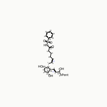 CCCCC[C@H](O)/C=C/[C@@H]1[C@@H](C/C=C\CCCC(=O)NS(=O)(=O)c2ccccc2)[C@@H](O)C[C@H]1O